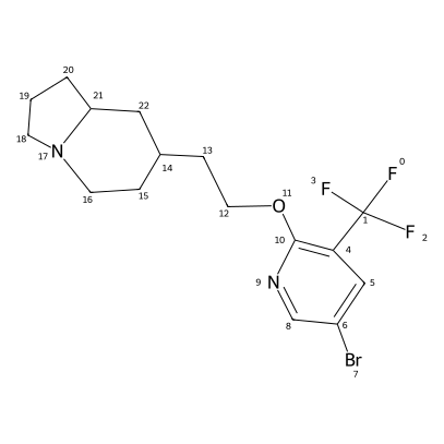 FC(F)(F)c1cc(Br)cnc1OCCC1CCN2CCCC2C1